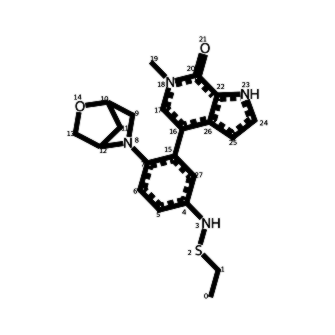 CCSNc1ccc(N2CC3CC2CO3)c(-c2cn(C)c(=O)c3[nH]ccc23)c1